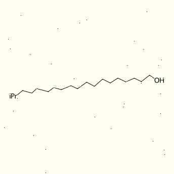 CC(C)CCCCCCCCCCCCCCC[CH]CO